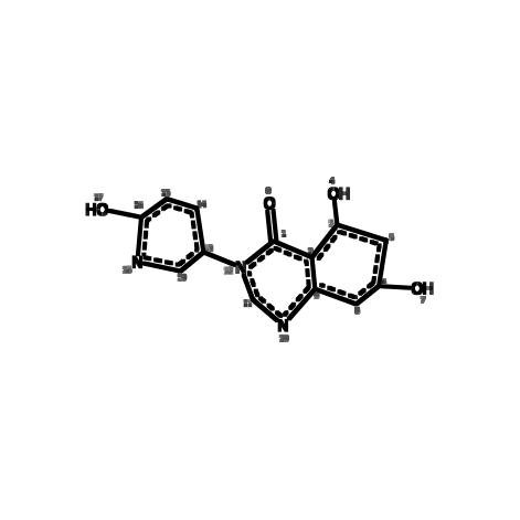 O=c1c2c(O)cc(O)cc2ncn1-c1ccc(O)nc1